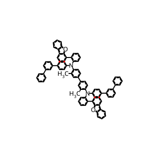 Cc1cc(-c2ccc(N(c3ccc(-c4cccc(-c5ccccc5)c4)cc3)c3ccccc3-c3cccc4c3oc3ccccc34)c(C)c2)ccc1N(c1ccc(-c2cccc(-c3ccccc3)c2)cc1)c1ccccc1-c1cccc2c1oc1ccccc12